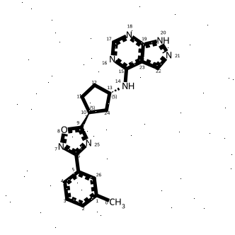 Cc1cccc(-c2noc([C@H]3CC[C@H](Nc4ncnc5[nH]ncc45)C3)n2)c1